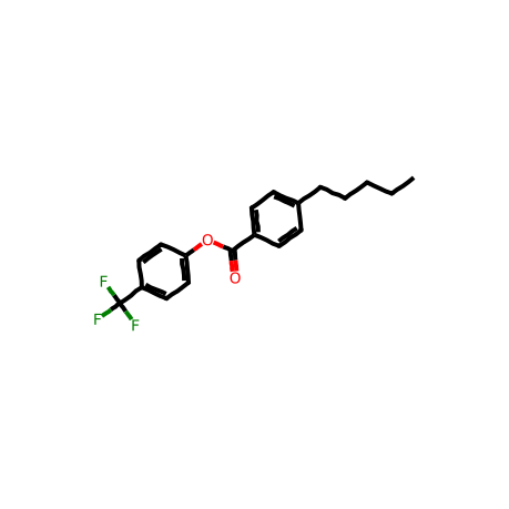 CCCCCc1ccc(C(=O)Oc2ccc(C(F)(F)F)cc2)cc1